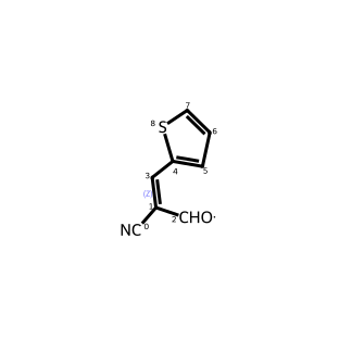 N#C/C([C]=O)=C/c1cccs1